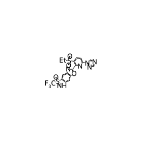 CCS(=O)(=O)c1ccc(-n2cncn2)nc1-c1nc2cc(S(=N)(=O)C(F)(F)F)ccc2o1